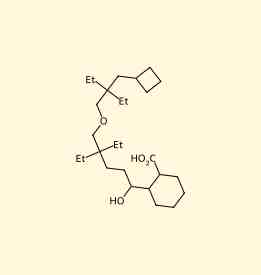 CCC(CC)(CCC(O)C1CCCCC1C(=O)O)COCC(CC)(CC)CC1CCC1